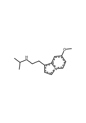 COc1ccn2ccc(CCNC(C)C)c2c1